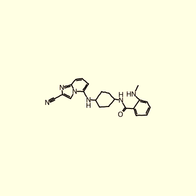 CNc1ccccc1C(=O)NC1CCC(Nc2cccc3nc(C#N)cn23)CC1